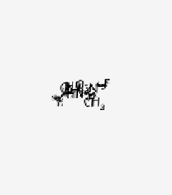 C[C@@H]1CN(CCF)C[C@H]1NC(=O)c1cc(C2CC2)on1